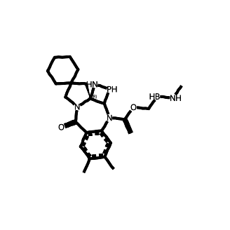 C=C(OCBNC)N1c2cc(C)c(C)cc2C(=O)N2CC3(CCCCC3)C[C@]23NPC13